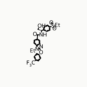 CCn1c(Oc2ccc(C(F)(F)F)cc2)nc2cc(C(=O)N[C@@H](CO)c3ccc(S(=O)(=O)CC)cc3)ccc21